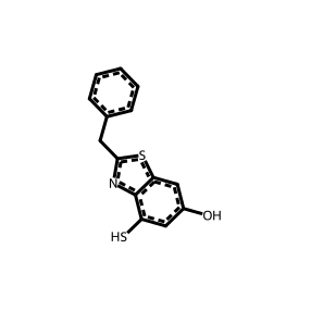 Oc1cc(S)c2nc(Cc3ccccc3)sc2c1